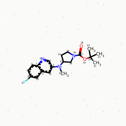 CN(c1cnc2ccc(F)cc2c1)C1CCN(C(=O)OC(C)(C)C)C1